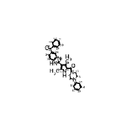 Cc1[nH]c(C(=O)N2CCN(c3ccccc3)CC2)c(C)c1-c1nc2cc(C(=O)c3ccccc3)ccc2[nH]1